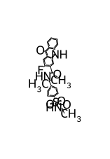 CC(=O)NS(=O)(=O)c1ccc(C(C)(C)NC(=O)c2cc3[nH]c4ccccc4c(=O)c3cc2F)cc1